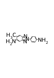 Cc1cc2nn(-c3ccc(N)cc3)nc2cc1N